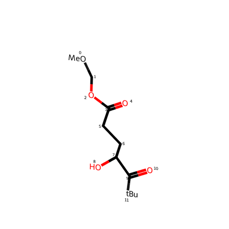 COCOC(=O)CCC(O)C(=O)C(C)(C)C